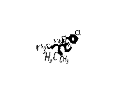 CCCC(=C(C)CC)c1[nH]nc2c1CCCN2c1ccc(Cl)cc1Cl